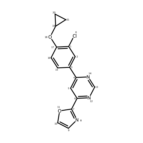 Clc1cc(-c2cc(-c3ncco3)ncn2)ccc1OC1CC1